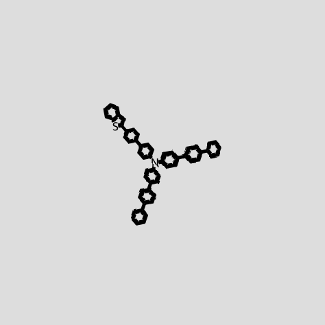 c1ccc(-c2ccc(-c3ccc(N(c4ccc(-c5ccc(-c6ccccc6)cc5)cc4)c4ccc(-c5ccc(-c6cc7ccccc7s6)cc5)cc4)cc3)cc2)cc1